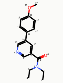 CCN(CC)C(=O)c1cncc(-c2ccc(OC)cc2)c1